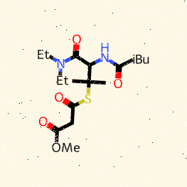 CCC(C)C(=O)NC(C(=O)N(CC)CC)C(C)(C)SC(=O)CC(=O)OC